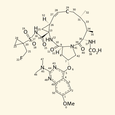 COc1ccc2c(O[C@@H]3C[C@H]4C(=O)N[C@]5(C(=O)NS(=O)(=O)C6(CF)CC6)C[C@H]5C=CCC[C@H](C)C[C@@H](C)[C@H](NC(=O)O)C(=O)N4C3)nc(N(C)C)nc2c1